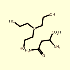 NC(=O)CC(N)C(=O)O.OCCN(CCO)CCO